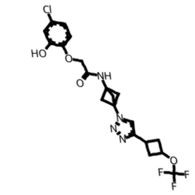 O=C(COc1ccc(Cl)cc1O)NC12CC(n3cc(C4CC(OC(F)(F)F)C4)nn3)(C1)C2